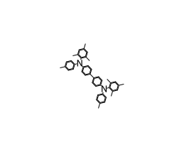 Cc1ccc(N(c2ccc(-c3ccc(N(c4ccc(C)cc4)c4c(C)cc(C)cc4C)cc3)cc2)c2c(C)cc(C)cc2C)cc1